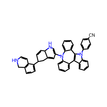 N#Cc1ccc(-n2c3c(c4ccccc42)-c2ccccc2N(C2=CNC4C=CC(c5cccc6c5C=CNC6)CC4=C2)c2ccccc2-3)cc1